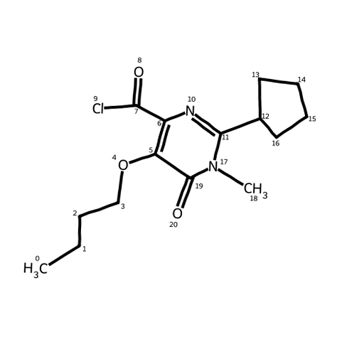 CCCCOc1c(C(=O)Cl)nc(C2CCCC2)n(C)c1=O